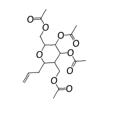 C=CCC1OC(COC(C)=O)C(OC(C)=O)C(OC(C)=O)C1COC(C)=O